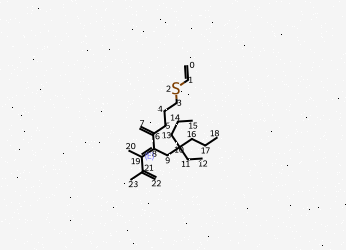 C=CSCCCC(=C)/C(CC(CC)(CCC)CCC)=C(\C)C(=C)C